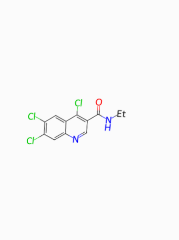 CCNC(=O)c1cnc2cc(Cl)c(Cl)cc2c1Cl